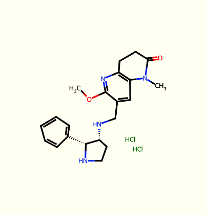 COc1nc2c(cc1CN[C@@H]1CCN[C@@H]1c1ccccc1)N(C)C(=O)CC2.Cl.Cl